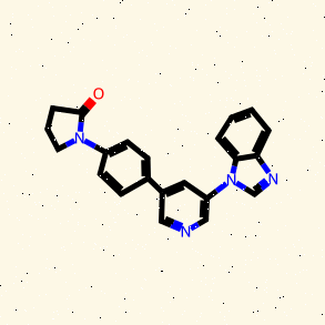 O=C1CCCN1c1ccc(-c2cncc(-n3cnc4ccccc43)c2)cc1